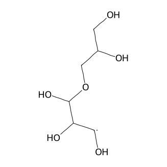 O[CH]C(O)C(O)OCC(O)CO